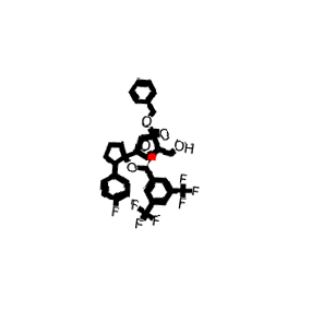 O=C(OCc1ccccc1)OC[C@@H](OC1(C2CCC(CO)C2)CCCC1c1ccc(F)cc1)c1cc(C(F)(F)F)cc(C(F)(F)F)c1